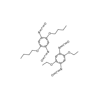 CCCCOc1cc(N=C=O)c(OCCCC)cc1N=C=O.CCOc1cc(N=C=O)c(OCC)cc1N=C=O